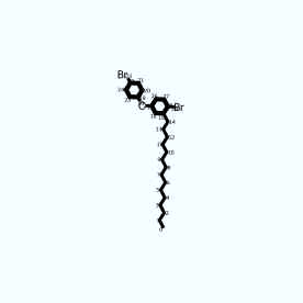 CCCCCCCCCCCCCCCc1cc(Oc2ccc(Br)cc2)ccc1Br